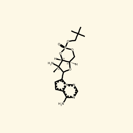 CC(C)(C)COP1(=O)OC[C@H]2OC(c3ccc4c(N)ncnn34)[C@](C)(N)[C@@H]2O1